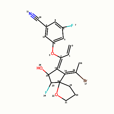 C=C/C(Oc1cc(F)cc(C#N)c1)=C1\C(=C(/C)Br)C2(CCCO2)C(F)C1O